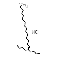 CCCCC(=CCCCCCCCCCCCCCN)CCCC.Cl